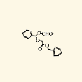 O=[C]OC(OCC(=O)OCc1ccccc1)c1ccccc1